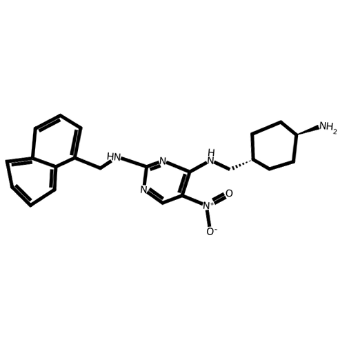 N[C@H]1CC[C@H](CNc2nc(NCc3cccc4ccccc34)ncc2[N+](=O)[O-])CC1